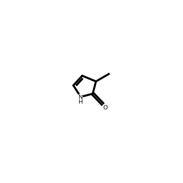 CC1C=CNC1=O